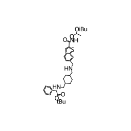 CC(C)COC(C)ONC(=O)c1cc2ccc(CNCC3CCC(CN[C@H](C(=O)OC(C)(C)C)c4ccccc4)CC3)cc2s1